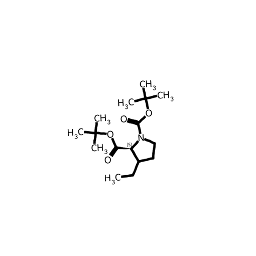 CCC1CCN(C(=O)OC(C)(C)C)[C@@H]1C(=O)OC(C)(C)C